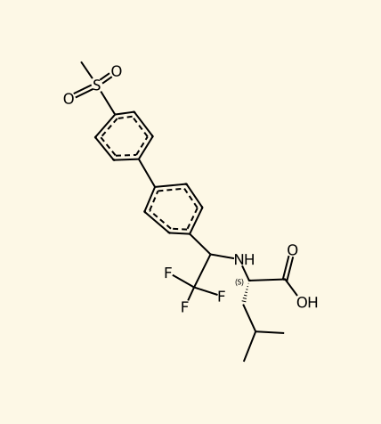 CC(C)C[C@H](NC(c1ccc(-c2ccc(S(C)(=O)=O)cc2)cc1)C(F)(F)F)C(=O)O